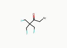 CC(=O)CC(=O)C(CF)(CF)CF